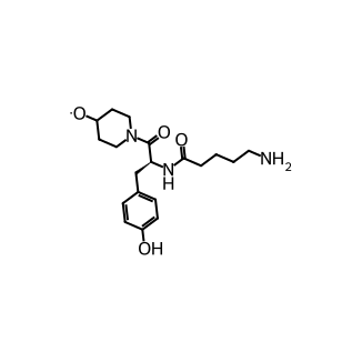 NCCCCC(=O)N[C@@H](Cc1ccc(O)cc1)C(=O)N1CCC([O])CC1